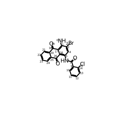 Nc1c(Br)cc(NC(=O)c2ccccc2Cl)c2c1C(=O)c1ccccc1C2=O